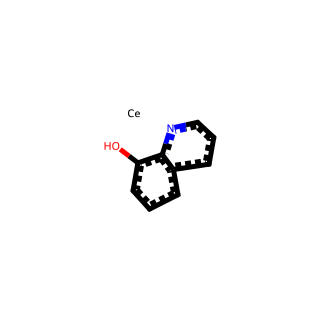 Oc1cccc2cccnc12.[Ce]